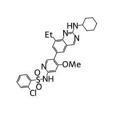 CCc1cc(-c2cnc(NS(=O)(=O)c3ccccc3Cl)cc2OC)cc2cnc(NC3CCCCC3)nc12